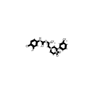 O=C(Nc1ccc(Cl)c(F)c1)O[C@@H](CN1CCS(=O)(=O)[C@H](c2cccc(C(F)(F)F)c2)C1)C(F)(F)F